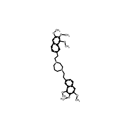 COc1cc2ccc(CCN3CCCN(CCc4ccc5cc(OC)c(OC)c(OC)c5c4)CC3)cc2c(OC)c1OC